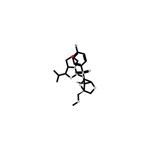 COC[C@]12COC([C@H]1OP1OC(C(C)C)C3CCCN31)[C@H](S(=O)(=O)c1ccc(Br)cc1)O2